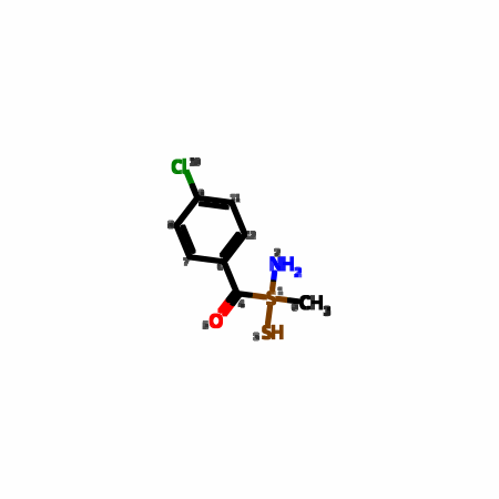 CS(N)(S)C(=O)c1ccc(Cl)cc1